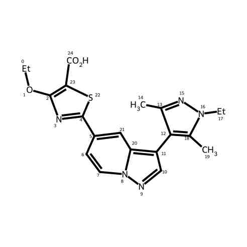 CCOc1nc(-c2ccn3ncc(-c4c(C)nn(CC)c4C)c3c2)sc1C(=O)O